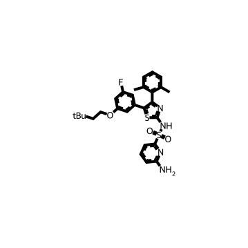 Cc1cccc(C)c1-c1nc(NS(=O)(=O)c2cccc(N)n2)sc1-c1cc(F)cc(OCCC(C)(C)C)c1